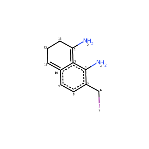 NC1=c2c(N)c(CI)ccc2=CCC1